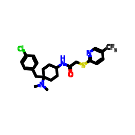 CN(C)C1(Cc2ccc(Cl)cc2)CCC(NC(=O)CSc2ccc(C(F)(F)F)cn2)CC1